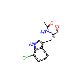 CC(=O)N[C@H](C=O)Cc1c[nH]c2c(Cl)cccc12